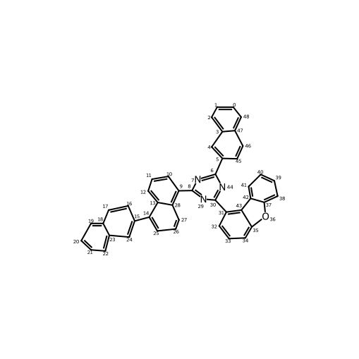 c1ccc2cc(-c3nc(-c4cccc5c(-c6ccc7ccccc7c6)cccc45)nc(-c4cccc5oc6ccccc6c45)n3)ccc2c1